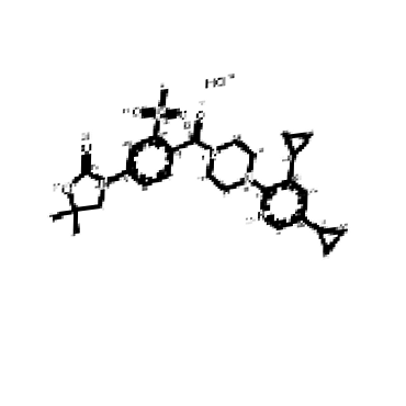 CC1(C)CN(c2ccc(C(=O)N3CCN(c4ncc(C5CC5)cc4C4CC4)CC3)c(S(C)(=O)=O)c2)C(=O)O1.Cl